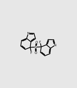 O=S(=O)(C1(F)C=CC=C2N=CC=C21)C1(F)C=CC=C2N=CC=C21